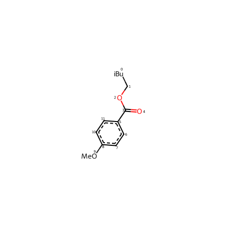 CCC(C)COC(=O)c1ccc(OC)cc1